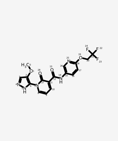 COc1cn[nH]c1-n1cccc(C(=O)Nc2ccc(OCC(F)(F)F)nc2)c1=O